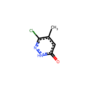 Cc1cc(=O)[nH]nc1Cl